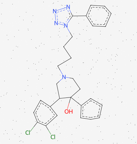 OC1(c2ccccc2)CCN(CCCCn2nnnc2-c2ccccc2)CC1c1ccc(Cl)c(Cl)c1